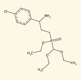 CCOC(OCC)P(=O)(CCC(N)c1ccc(Cl)cc1)OCC